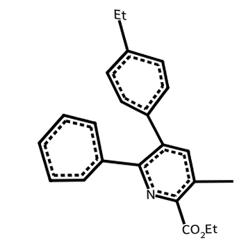 CCOC(=O)c1nc(-c2ccccc2)c(-c2ccc(CC)cc2)cc1C